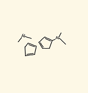 C1=CCC=C1.[CH3][Al]([CH3])[C]1=CC=CC1.[CH3][Al][CH3]